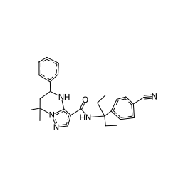 CCC(CC)(NC(=O)c1cnn2c1NC(c1ccccc1)CC2(C)C)c1ccc(C#N)cc1